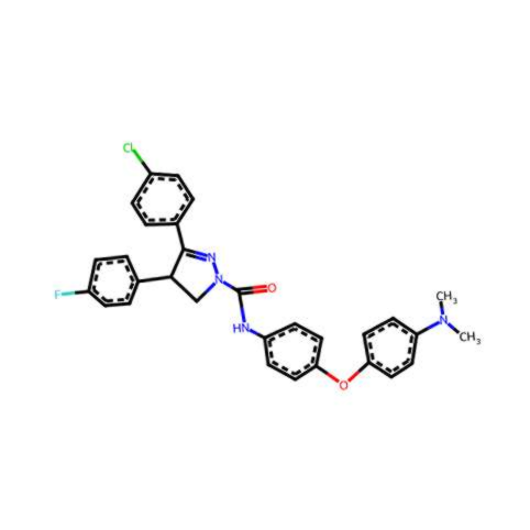 CN(C)c1ccc(Oc2ccc(NC(=O)N3CC(c4ccc(F)cc4)C(c4ccc(Cl)cc4)=N3)cc2)cc1